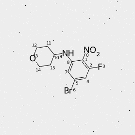 O=[N+]([O-])c1c(F)cc(Br)cc1NC1CCOCC1